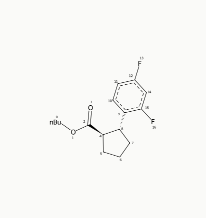 CCCCOC(=O)[C@@H]1CCC[C@H]1c1ccc(F)cc1F